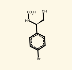 O=C(O)N[C@@H](CO)c1ccc(Br)cc1